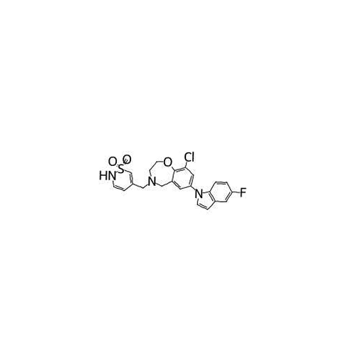 O=S1(=O)C=C(CN2CCOc3c(Cl)cc(-n4ccc5cc(F)ccc54)cc3C2)C=CN1